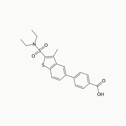 CCN(CC)S(=O)(=O)c1sc2ccc(-c3ccc(C(=O)O)cc3)cc2c1C